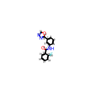 O=C(Nc1cccc(-c2nnco2)c1)c1ccccc1F